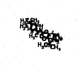 CC(C)OC(=O)[C@@H](Cn1cncn1)OC(=O)N[C@@H](C)c1ccc(C(C)(C)C)cc1